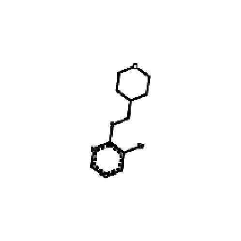 Brc1cccnc1SCC1CCOCC1